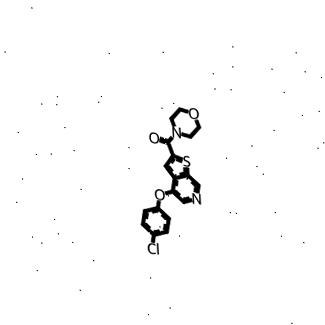 O=C(c1cc2c(Oc3ccc(Cl)cc3)cncc2s1)N1CCOCC1